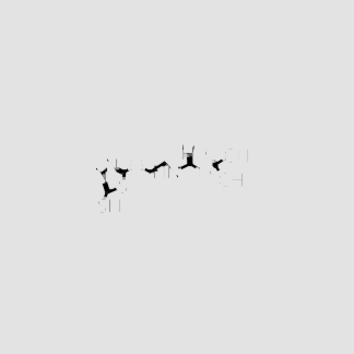 CC(C)(C)OC(=O)NCCOc1nnc(S)s1